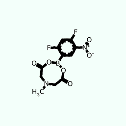 CN1CC(=O)OB(c2cc([N+](=O)[O-])c(F)cc2F)OC(=O)C1